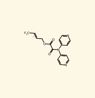 O=C(OC/C=C/C(F)(F)F)C(=O)N(c1ccncc1)c1ccncc1